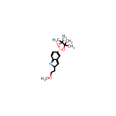 COCCC1C=c2cc(B3OC(C)(C)C(C)(C)O3)ccc2=N1